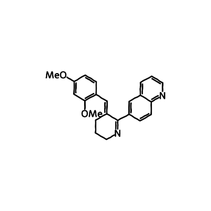 COc1ccc(C=C2CCCN=C2c2ccc3ncccc3c2)c(OC)c1